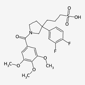 COc1cc(C(=O)N2CCC(CCCS(=O)(=O)O)(c3ccc(F)c(F)c3)C2)cc(OC)c1OC